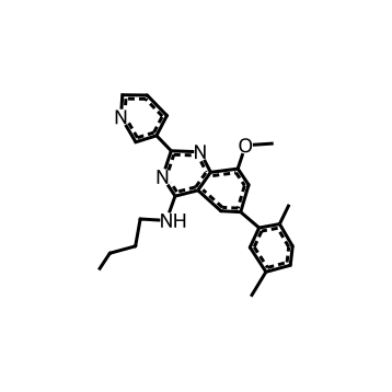 CCCCNc1nc(-c2cccnc2)nc2c(OC)cc(-c3cc(C)ccc3C)cc12